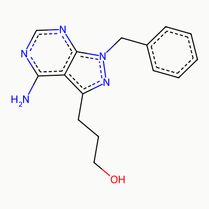 Nc1ncnc2c1c(CCCO)nn2Cc1ccccc1